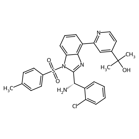 Cc1ccc(S(=O)(=O)n2c([C@@H](N)c3ccccc3Cl)nc3c(-c4cc(C(C)(C)O)ccn4)cccc32)cc1